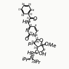 CO[C@]1(CO)O[C@@H](n2ccc(NC(=O)c3ccccc3)nc2=O)[C@@H](F)C1OPN(C(C)C)C(C)C